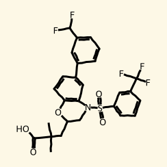 CC(C)(CC1CN(S(=O)(=O)c2cccc(C(F)(F)F)c2)c2cc(-c3cccc(C(F)F)c3)ccc2O1)C(=O)O